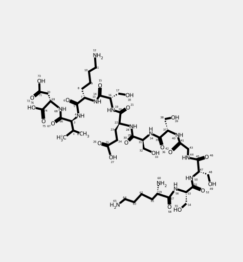 CC(C)[C@H](NC(=O)[C@H](CCCCN)NC(=O)[C@H](CO)NC(=O)[C@H](CCC(=O)O)NC(=O)[C@H](CO)NC(=O)[C@H](CO)NC(=O)CNC(=O)[C@H](CO)NC(=O)[C@H](CO)NC(=O)[C@@H](N)CCCCN)C(=O)N[C@@H](CC(=O)O)C(=O)O